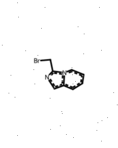 BrCc1ncc2ccccn12